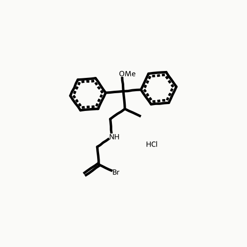 C=C(Br)CNCC(C)C(OC)(c1ccccc1)c1ccccc1.Cl